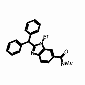 CCn1c(C(c2ccccc2)c2ccccc2)nc2ccc(C(=O)NC)cc21